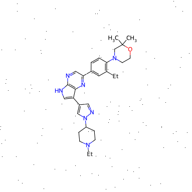 CCc1cc(-c2cnc3[nH]cc(-c4cnn(C5CCN(CC)CC5)c4)c3n2)ccc1N1CCOC(C)(C)C1